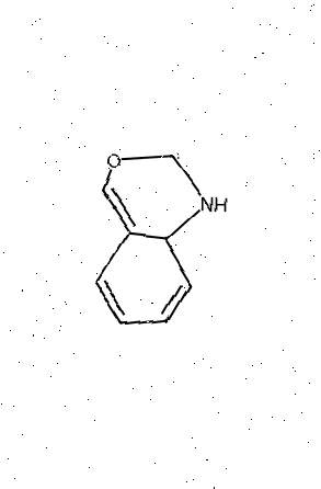 [C]1NC2C=CC=CC2=CO1